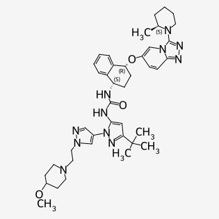 COC1CCN(CCn2cc(-n3nc(C(C)(C)C)cc3NC(=O)N[C@H]3CC[C@@H](Oc4ccc5nnc(N6CCCC[C@@H]6C)n5c4)c4ccccc43)cn2)CC1